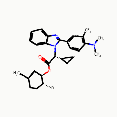 CC1CC[C@@H](C(C)C)[C@H](OC(=O)[C@@H](C2CC2)n2c(-c3ccc(N(C)C)c(C(F)(F)F)c3)nc3ccccc32)C1